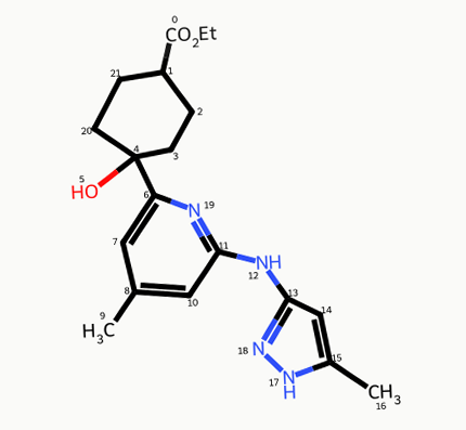 CCOC(=O)C1CCC(O)(c2cc(C)cc(Nc3cc(C)[nH]n3)n2)CC1